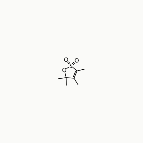 CC1=C(C)S(=O)(=O)OC1(C)C